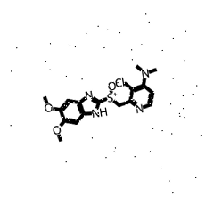 COc1cc2nc([S+]([O-])Cc3nccc(N(C)C)c3Cl)[nH]c2cc1OC